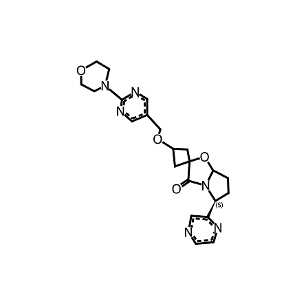 O=C1N2C(CC[C@H]2c2cnccn2)OC12CC(OCc1cnc(N3CCOCC3)nc1)C2